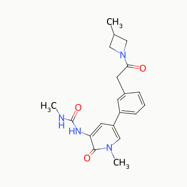 CNC(=O)Nc1cc(-c2cccc(CC(=O)N3CC(C)C3)c2)cn(C)c1=O